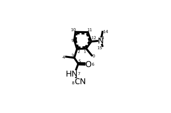 Cc1c(C(C)C(=O)NC#N)cccc1N(C)C